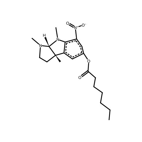 CCCCCCC(=O)Oc1cc([N+](=O)[O-])c2c(c1)[C@]1(C)CCN(C)[C@@H]1N2C